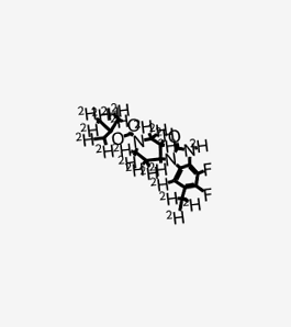 [2H]c1c(C([2H])([2H])[2H])c(F)c(F)c2c1n(C1([2H])C([2H])([2H])C([2H])([2H])N(C(=O)OC(C([2H])[2H])(C([2H])([2H])[2H])C([2H])([2H])[2H])C([2H])([2H])C1([2H])[2H])c(=O)n2[2H]